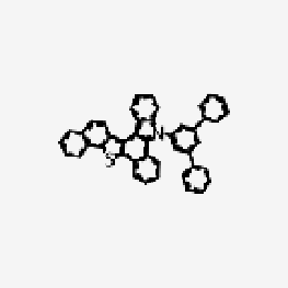 c1ccc(-c2cc(-c3ccccc3)cc(-n3c4ccccc4c4c5c6ccc7ccccc7c6sc5c5ccccc5c43)c2)cc1